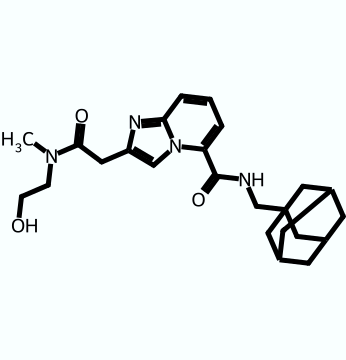 CN(CCO)C(=O)Cc1cn2c(C(=O)NCC34CC5CC(CC(C5)C3)C4)cccc2n1